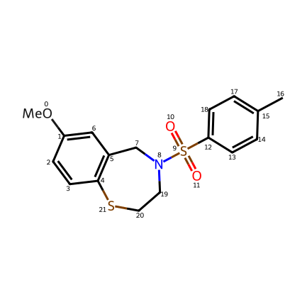 COc1ccc2c(c1)CN(S(=O)(=O)c1ccc(C)cc1)CCS2